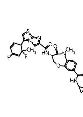 CN1C(=O)[C@@H](NC(=O)c2cn3c(C4C=CC(F)=CC4(C)F)csc3n2)COc2cc(C(=O)NC3CC3)ccc21